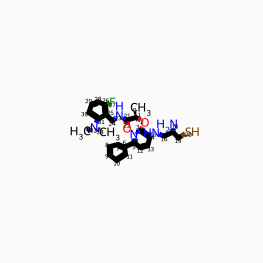 C[C@@H](Oc1nc(-c2ccccc2)ccc1NCC(N)CS)C(=O)NCc1c(F)cccc1N(C)C